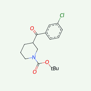 CC(C)(C)OC(=O)N1CCCC(C(=O)c2cccc(Cl)c2)C1